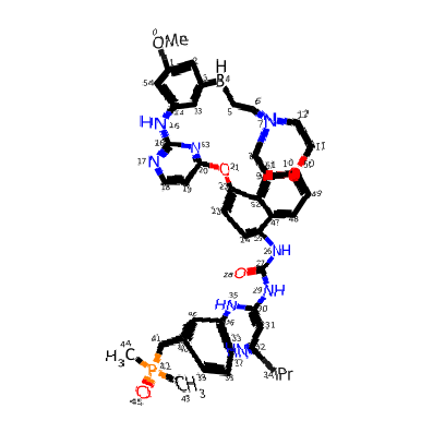 COc1cc(BCCN2CCOCC2)cc(Nc2nccc(Oc3ccc(NC(=O)N/C(=C/C(=N)C(C)C)Nc4cccc(CP(C)(C)=O)c4)c4ccccc34)n2)c1